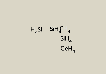 C.[GeH4].[SiH4].[SiH4].[SiH4]